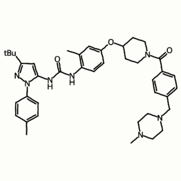 Cc1ccc(-n2nc(C(C)(C)C)cc2NC(=O)Nc2ccc(OC3CCN(C(=O)c4ccc(CN5CCN(C)CC5)cc4)CC3)cc2C)cc1